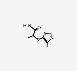 Cc1nnsc1SC(C)C(N)=O